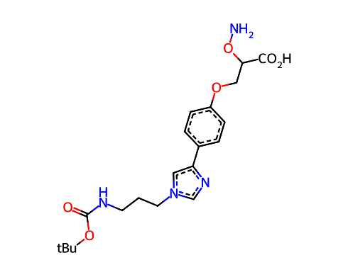 CC(C)(C)OC(=O)NCCCn1cnc(-c2ccc(OCC(ON)C(=O)O)cc2)c1